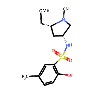 COC[C@H]1C[C@@H](NS(=O)(=O)c2cc(C(F)(F)F)ccc2Br)CN1C#N